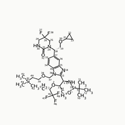 C[C@H](O[C@H](C)[C@H](N[S@+]([O-])C(C)(C)C)c1nc2cc([C@@H](COC3CC3)N3CC(F)(F)CNC3=O)ccc2n1COCC[Si](C)(C)C)C(F)(F)F